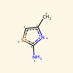 [CH2]c1csc(N)n1